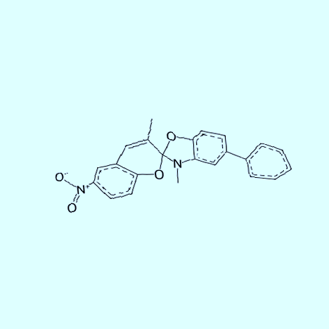 CC1=Cc2cc([N+](=O)[O-])ccc2OC12Oc1ccc(-c3ccccc3)cc1N2C